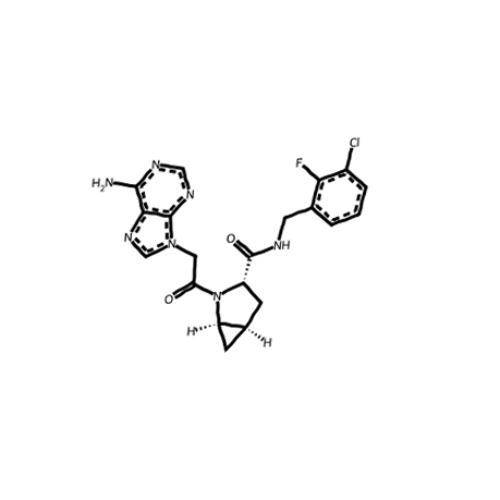 Nc1ncnc2c1ncn2CC(=O)N1[C@@H]2C[C@@H]2C[C@H]1C(=O)NCc1cccc(Cl)c1F